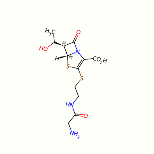 CC(O)[C@H]1C(=O)N2C(C(=O)O)=C(SCCNC(=O)CN)S[C@H]12